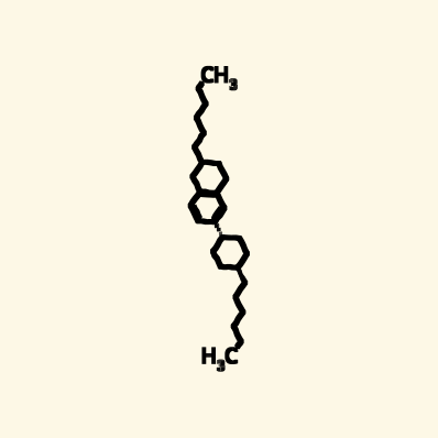 CCCCCCC1CCc2cc([C@H]3CC[C@H](CCCCCC)CC3)ccc2C1